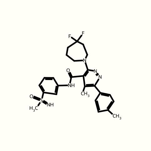 Cc1ccc(-c2nnc(N3CCCC(F)(F)CC3)c(C(=O)Nc3cccc(S(C)(=N)=O)c3)c2C)cc1